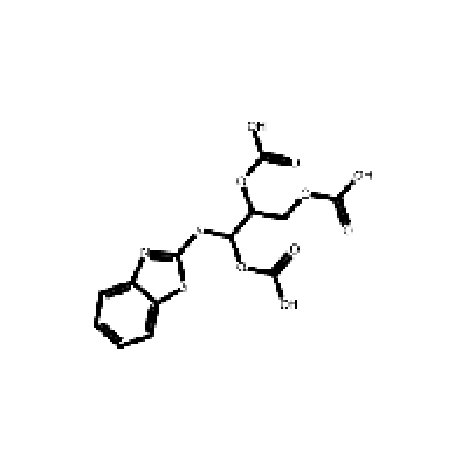 O=C(O)OCC(OC(=O)O)C(OC(=O)O)Sc1nc2ccccc2s1